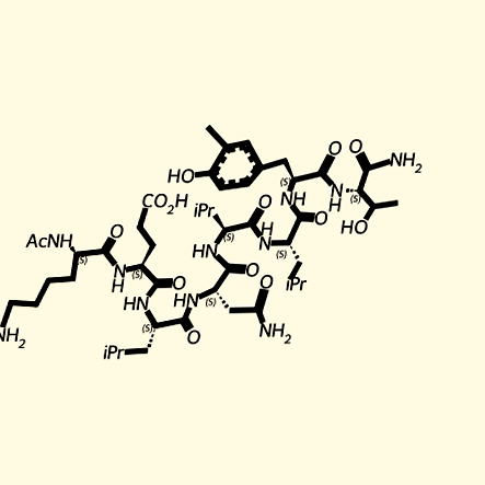 CC(=O)N[C@@H](CCCCN)C(=O)N[C@@H](CCC(=O)O)C(=O)N[C@@H](CC(C)C)C(=O)N[C@@H](CC(N)=O)C(=O)N[C@H](C(=O)N[C@@H](CC(C)C)C(=O)N[C@@H](Cc1ccc(O)c(C)c1)C(=O)N[C@H](C(N)=O)C(C)O)C(C)C